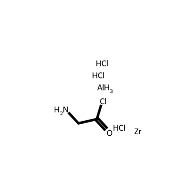 Cl.Cl.Cl.NCC(=O)Cl.[AlH3].[Zr]